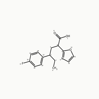 CCC(CC(C(=O)O)c1ncco1)c1ccc(F)cc1